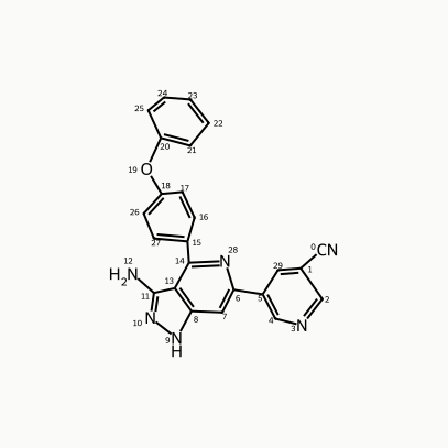 N#Cc1cncc(-c2cc3[nH]nc(N)c3c(-c3ccc(Oc4ccccc4)cc3)n2)c1